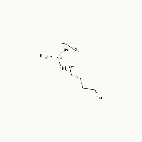 CC(C)[C@H](N)C(=O)O.O=[N+]([O-])O.OCCCCO